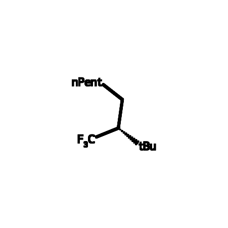 CCCCCC[C@H](C(C)(C)C)C(F)(F)F